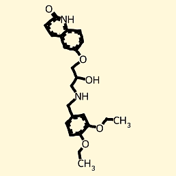 CCOc1ccc(CNCC(O)COc2ccc3[nH]c(=O)ccc3c2)cc1OCC